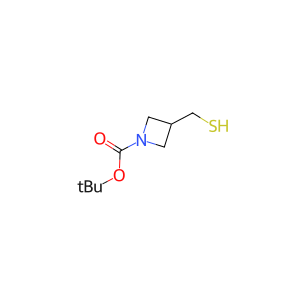 CC(C)(C)OC(=O)N1CC(CS)C1